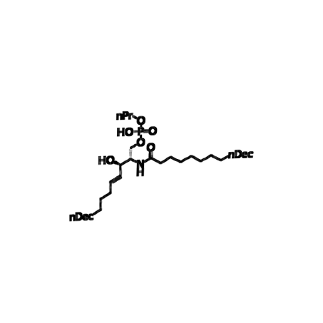 CCCCCCCCCCCCC/C=C/[C@@H](O)[C@H](COP(=O)(O)OCCC)NC(=O)CCCCCCCCCCCCCCCCC